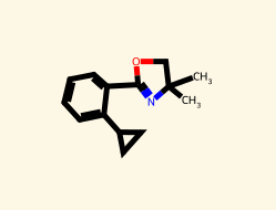 CC1(C)COC(c2ccccc2C2CC2)=N1